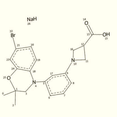 CC1(C)CN(c2cccc(N3CC(C(=O)O)C3)c2)c2ccc(Br)cc2O1.[NaH]